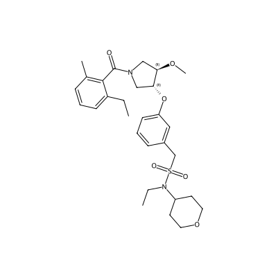 CCc1cccc(C)c1C(=O)N1C[C@@H](OC)[C@H](Oc2cccc(CS(=O)(=O)N(CC)C3CCOCC3)c2)C1